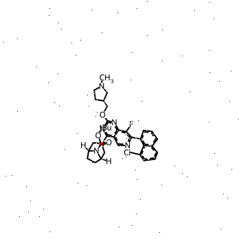 CN1CC[C@H](COc2nc(N3C[C@H]4CC[C@@H](C3)N4C(=O)OC(C)(C)C)c3cnc(-c4cccc5cccc(Cl)c45)c(F)c3n2)C1